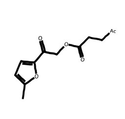 CC(=O)CCC(=O)OCC(=O)c1ccc(C)o1